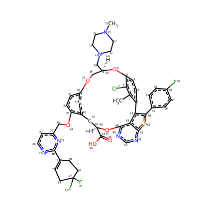 Cc1c2ccc(c1Cl)O[C@H](CN1CCN(C)CC1)COc1ccc(OCc3ccnc(C4=CCC(F)(F)CC4)n3)c(c1)C[C@H](C(=O)O)Oc1ncnc3sc(-c4ccc(F)cc4)c-2c13